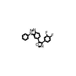 Fc1ccc(-c2ncoc2-c2ccc3nnn(-c4ccccc4)c3c2)cc1F